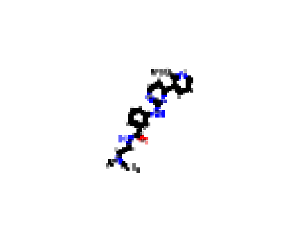 COc1ncccc1-c1ccnc(Nc2cccc(C(=O)NCCN(C)C)c2)n1